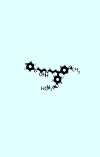 COc1ccc(C(CCCNC[C@H](O)COc2ccccc2)c2ccc(OC)cc2)cc1.Cl